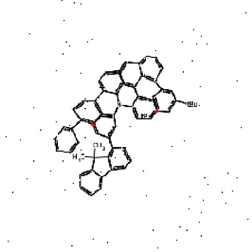 CC(C)(C)c1cc(-c2cccc3cccc(-c4ccccc4N(c4cccc(-c5cccc6c5C(C)(C)c5ccccc5-6)c4)c4ccccc4-c4ccc(-c5ccccc5)cc4)c23)cc(C(C)(C)C)c1